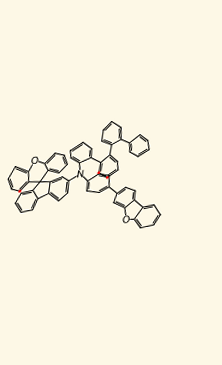 c1ccc(-c2ccccc2-c2ccccc2-c2ccccc2N(c2ccc(-c3ccc4c(c3)oc3ccccc34)cc2)c2ccc3c(c2)C2(c4ccccc4Oc4ccccc42)c2ccccc2-3)cc1